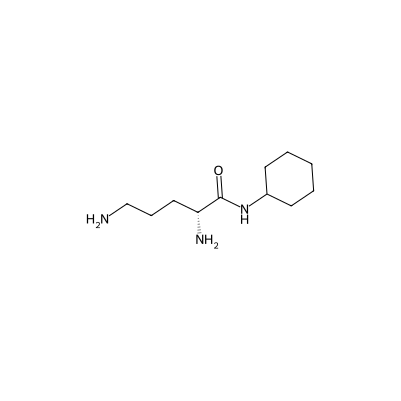 NCCC[C@@H](N)C(=O)NC1CCCCC1